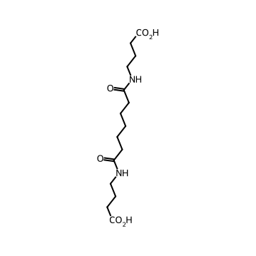 O=C(O)CCCNC(=O)CCCCCC(=O)NCCCC(=O)O